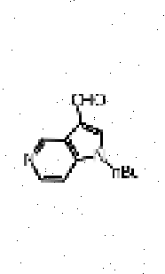 CCCCn1cc(C=O)c2cnccc21